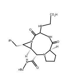 CCCCNC(=O)[C@@H]1[C@H]2[C@H](CC(C)C)N2C(=O)C(BCC(=O)O)NC(=O)[C@H]2CCCN21